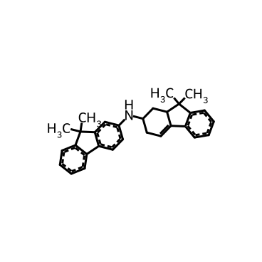 CC1(C)c2ccccc2-c2ccc(NC3CC=C4c5ccccc5C(C)(C)C4C3)cc21